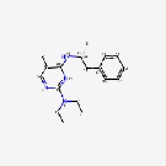 CCN(CC)c1ncc(C)c(N[C@H](C)Cc2ccccc2)n1